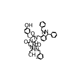 C=CCN1CC(=O)N2[C@@H](Cc3ccc(O)cc3)C(=O)N(Cc3cccc4c(-c5ccccc5)nn(Cc5ccccc5)c34)C[C@@H]2N1C(=O)NCc1ccccc1